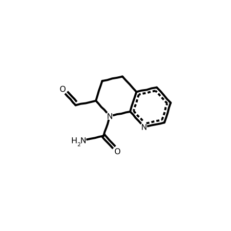 NC(=O)N1c2ncccc2CCC1C=O